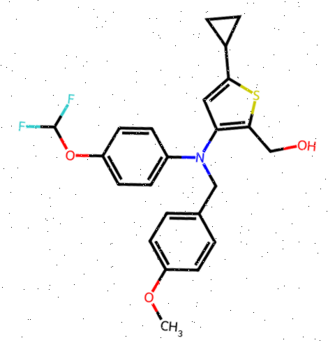 COc1ccc(CN(c2ccc(OC(F)F)cc2)c2cc(C3CC3)sc2CO)cc1